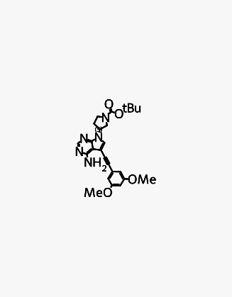 COc1cc(C#Cc2cn([C@H]3CCN(C(=O)OC(C)(C)C)C3)c3ncnc(N)c23)cc(OC)c1